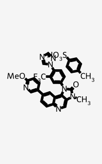 COc1ccc(-c2ccc3ncc4c(c3c2)n(-c2ccc(-n3cncn3)c(C(F)(F)F)c2)c(=O)n4C)cn1.Cc1ccc(S(=O)(=O)O)cc1